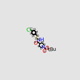 CC(C)(C)OC(=O)N1CCC(C(=O)NSCc2ccc(Cl)cc2)CC1